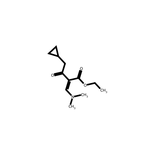 CCOC(=O)/C(=C\N(C)C)C(=O)CC1CC1